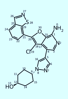 Nc1ncc(-c2cnn([C@H]3CC[C@H](O)CC3)c2)c2c(Cl)c(-c3cccc4cnsc34)oc12